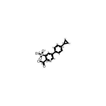 CCS(=O)(=O)c1cc(-c2ccc(C3CC3)cc2)cnc1C(=O)Cl